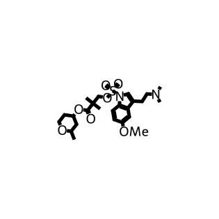 COc1ccc2c(c1)c(CCN(C)C)cn2S(=O)(=O)OCC(C)(C)C(=O)OC1CCOC(C)C1